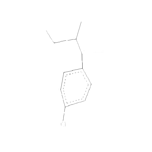 CCC(C)[C@H](C)c1ccc(Cl)cc1